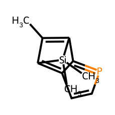 CC1=C2C3=PC=CC3=C1[Si]2(C)C